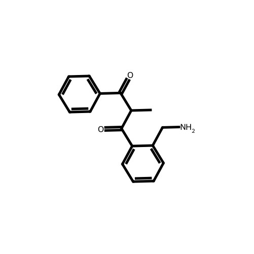 CC(C(=O)c1ccccc1)C(=O)c1ccccc1CN